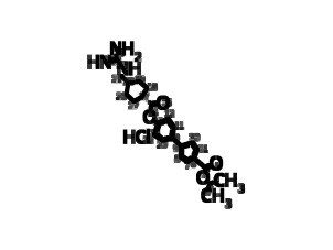 CC(C)OC(=O)c1ccc(-c2ccc(OC(=O)[C@H]3CC[C@H](CNC(=N)N)CC3)cc2)cc1.Cl